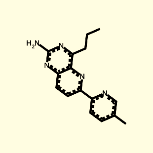 CCCc1nc(N)nc2ccc(-c3ccc(C)cn3)nc12